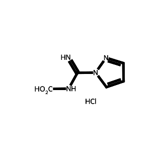 Cl.N=C(NC(=O)O)n1cccn1